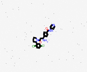 NC(CC(=O)N1CCCCC1c1cc(Cl)ccc1Cl)c1ccc(C(=O)Nc2ccncc2)cc1